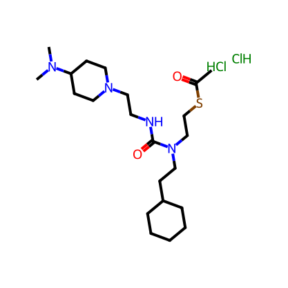 CC(=O)SCCN(CCC1CCCCC1)C(=O)NCCN1CCC(N(C)C)CC1.Cl.Cl